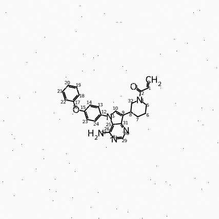 C=CC(=O)N1CCCC(c2cn(-c3ccc(Oc4ccccc4)cc3)c3c(N)ncnc23)C1